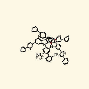 N#Cc1cc(-n2c3cc(-c4ccc(-c5ccccc5)nc4)ccc3c3ccc(-c4ccc(-c5ccccc5)nc4)cc32)c(-n2c3cc(-c4ccc(-c5ccccc5)nc4)ccc3c3ccc(-c4ccc(-c5ccccc5)nc4)cc32)cc1-c1c(C(F)(F)F)cccc1C(F)(F)F